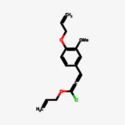 C=CCOC(Cl)=C=Cc1ccc(OCC=C)c(OC)c1